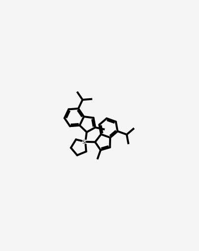 CC1=Cc2c(C(C)C)cccc2C1[Si]1(C2C(C)=Cc3c(C(C)C)cccc32)CCCC1